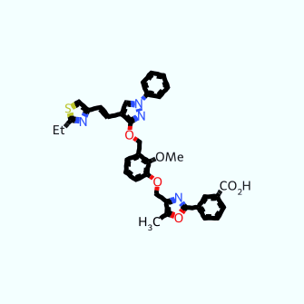 CCc1nc(C=Cc2cn(-c3ccccc3)nc2OCc2cccc(OCc3nc(-c4cccc(C(=O)O)c4)oc3C)c2OC)cs1